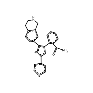 NC(=O)c1ccccc1-c1cc(-c2ccncc2)[nH]c1-c1ccc2c(c1)CNCC2